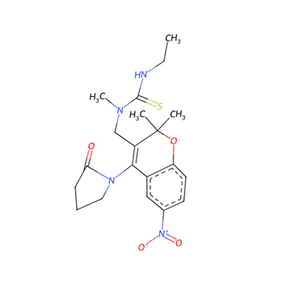 CCNC(=S)N(C)CC1=C(N2CCCC2=O)c2cc([N+](=O)[O-])ccc2OC1(C)C